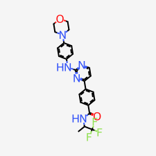 CC(NC(=O)c1ccc(-c2ccnc(Nc3ccc(N4CCOCC4)cc3)n2)cc1)C(F)(F)F